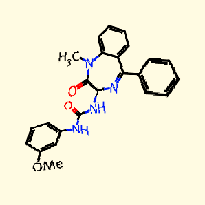 COc1cccc(NC(=O)N[C@@H]2N=C(c3ccccc3)c3ccccc3N(C)C2=O)c1